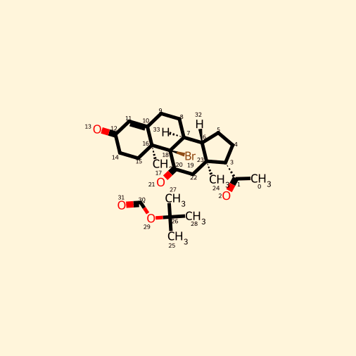 CC(=O)[C@H]1CC[C@H]2[C@@H]3CCC4=CC(=O)CC[C@]4(C)[C@@]3(Br)C(=O)C[C@]12C.CC(C)(C)O[C]=O